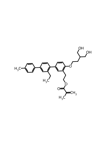 C=C(C)C(=O)OCCc1cc(-c2ccc(-c3ccc(C)cc3)cc2CC)ccc1OCCC(CO)CO